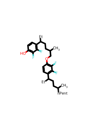 CCCCCC(C)CCC(CC)c1ccc(OCC(C)CCC(CC)c2ccc(O)c(F)c2F)c(F)c1F